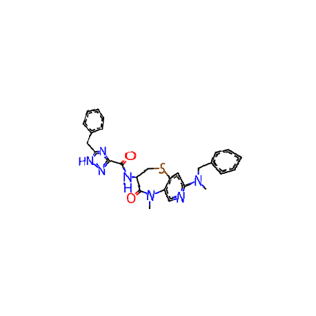 CN(Cc1ccccc1)c1cc2c(cn1)N(C)C(=O)[C@@H](NC(=O)c1n[nH]c(Cc3ccccc3)n1)CS2